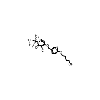 CC(C)(C)n1ncc(OCc2ccc(OCCCCO)nc2)c(Cl)c1=O